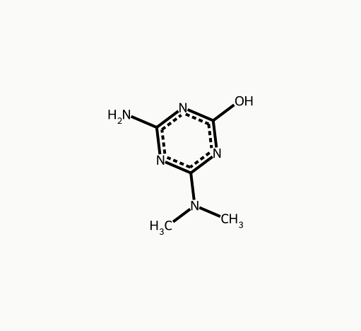 CN(C)c1nc(N)nc(O)n1